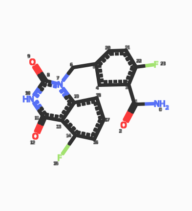 NC(=O)c1cc(Cn2c(=O)[nH]c(=O)c3c(F)cccc32)ccc1F